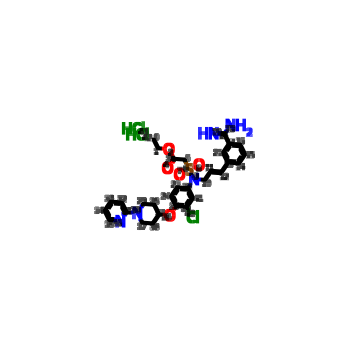 CCOC(=O)CS(=O)(=O)N(C/C=C/c1cccc(C(=N)N)c1)c1ccc(OC2CCN(c3ccccn3)CC2)c(Cl)c1.Cl.Cl